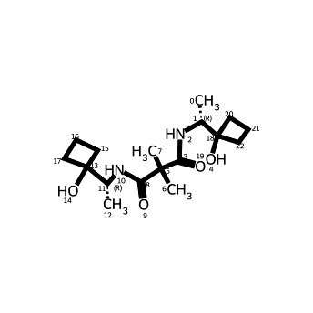 C[C@@H](NC(=O)C(C)(C)C(=O)N[C@H](C)C1(O)CCC1)C1(O)CCC1